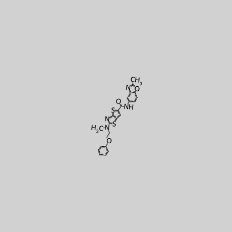 Cc1nc2cc(NC(=O)c3cc4sc(N(C)CCOc5ccccc5)nc4s3)ccc2o1